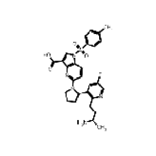 Cc1ccc(S(=O)(=O)n2cc(C(=O)O)c3nc(N4CCC[C@@H]4c4cc(F)cnc4CC[C@@H](C)N)ccc32)cc1